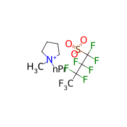 CCC[N+]1(C)CCCC1.O=S(=O)([O-])C(F)(F)C(F)(F)C(F)(F)C(F)(F)F